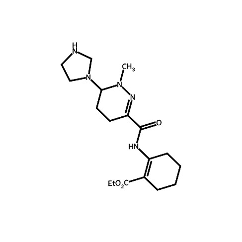 CCOC(=O)C1=C(NC(=O)C2=NN(C)C(N3CCNC3)CC2)CCCC1